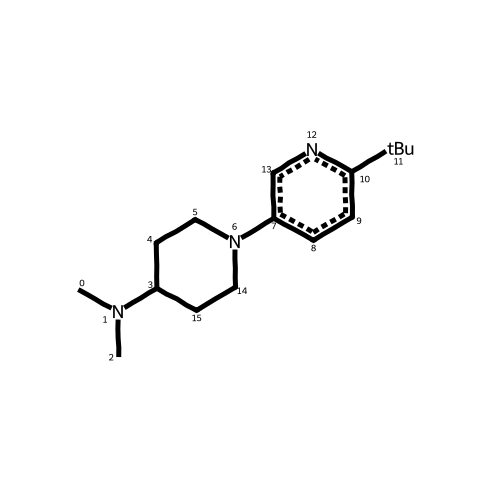 CN(C)C1CCN(c2ccc(C(C)(C)C)nc2)CC1